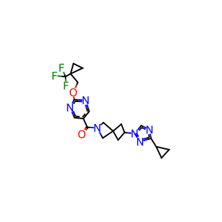 O=C(c1cnc(OCC2(C(F)(F)F)CC2)nc1)N1CC2(CC(n3cnc(C4CC4)n3)C2)C1